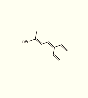 C=CC(C=C)=C/C=C(\C)CCC